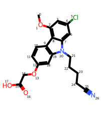 COc1cc(Cl)cc2c1c1ccc(OCC(=O)O)cc1n2CCCCC#N